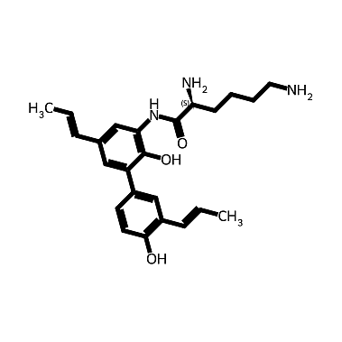 CC=Cc1cc(NC(=O)[C@@H](N)CCCCN)c(O)c(-c2ccc(O)c(C=CC)c2)c1